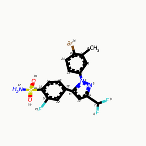 Cc1cc(-n2nc(C(F)F)cc2-c2ccc(S(N)(=O)=O)c(F)c2)ccc1Br